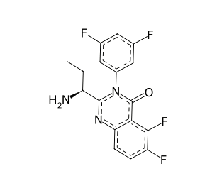 CC[C@H](N)c1nc2ccc(F)c(F)c2c(=O)n1-c1cc(F)cc(F)c1